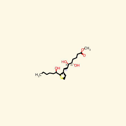 CCCCCC(O)c1sccc1/C=C/[C@@H](O)[C@@H](O)CCCC(=O)OC